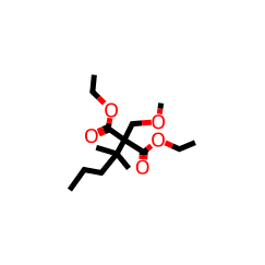 CCCC(C)(C)C(COC)(C(=O)OCC)C(=O)OCC